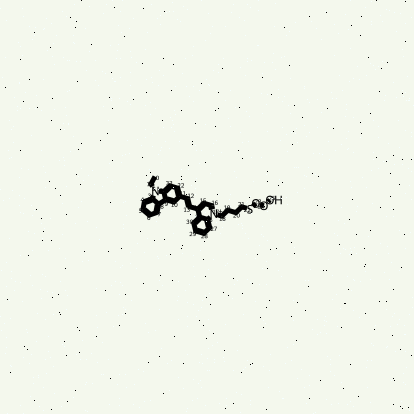 CCn1c2ccccc2c2cc(C=Cc3cc[n+](CCCCSOOO)c4ccccc34)ccc21